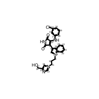 O=C1NC(=O)C(c2cn(CCCn3cnc(CO)c3)c3ccccc23)=C1Nc1cccc(Cl)c1